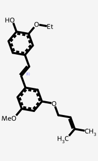 CCOc1cc(/C=C/c2cc(OC)cc(OCC=C(C)C)c2)ccc1O